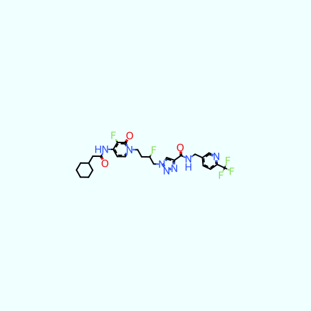 O=C(CC1CCCCC1)Nc1ccn(CCC(F)Cn2cc(C(=O)NCc3ccc(C(F)(F)F)nc3)nn2)c(=O)c1F